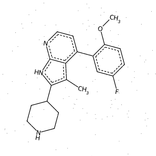 COc1ccc(F)cc1-c1ccnc2[nH]c(C3CCNCC3)c(C)c12